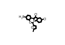 Bc1ccc2c(c1)OC(c1ccc(C)o1)n1c-2c(Cl)c2cc(Cl)ccc21